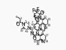 C=CC(=O)N1C[C@H](C)N(c2nc(=O)n(-c3c(C)ccnc3C(C)C)c3nc(-c4c(F)cccc4NC(=O)C(F)(F)F)c(Cl)cc23)C[C@H]1C